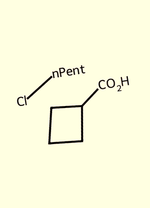 CCCCCCl.O=C(O)C1CCC1